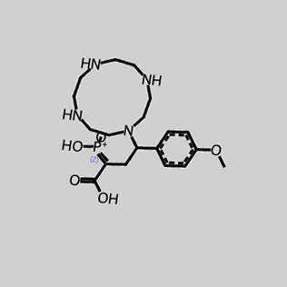 COc1ccc(C(C/C(C(=O)O)=[P+](\[O-])O)N2CCNCCNCCNCC2)cc1